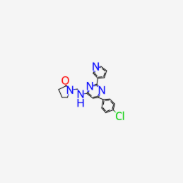 O=C1CCCN1CNc1cc(-c2ccc(Cl)cc2)nc(-c2cccnc2)n1